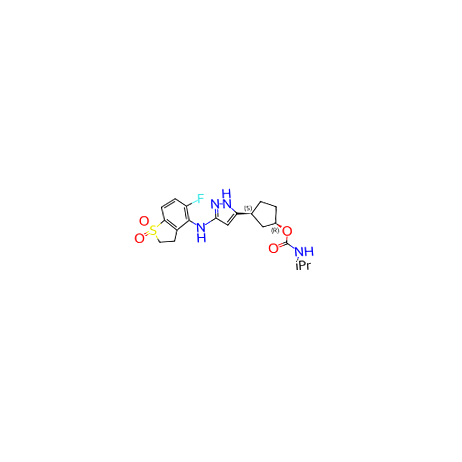 CC(C)NC(=O)O[C@@H]1CC[C@H](c2cc(Nc3c(F)ccc4c3CCS4(=O)=O)n[nH]2)C1